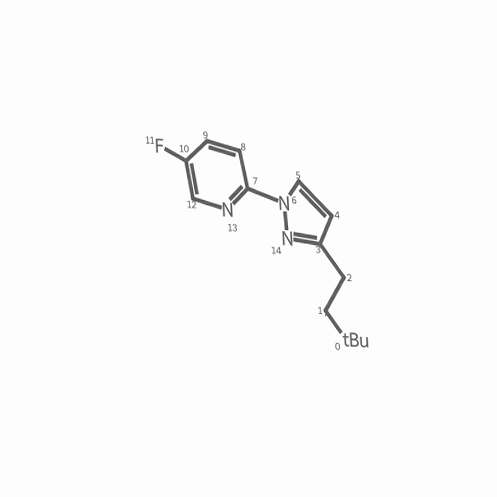 CC(C)(C)[CH]Cc1ccn(-c2ccc(F)cn2)n1